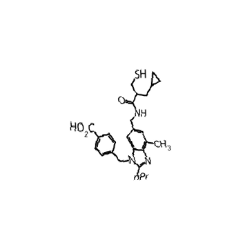 CCCc1nc2c(C)cc(CNC(=O)C(CS)CC3CC3)cc2n1Cc1ccc(C(=O)O)cc1